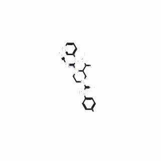 CC(C)C1CN(C(=O)Nc2ccc(Cl)cc2)CCN1/C(=N/C#N)Nc1cccnc1